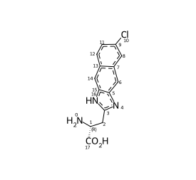 N[C@H](Cc1nc2cc3cc(Cl)ccc3cc2[nH]1)C(=O)O